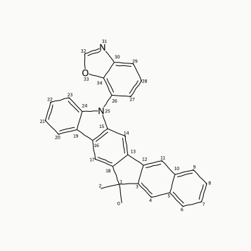 CC1(C)c2cc3ccccc3cc2-c2cc3c(cc21)c1ccccc1n3-c1cccc2ncoc12